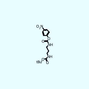 CC(C)(C)OC(=O)NCCCNC(=O)Oc1ccc([N+](=O)[O-])cc1